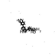 CN1CCc2ccc(-c3cnc4[nH]cc(-c5cnn(C(C)(C)C(N)=O)c5)c4c3)cc2C1